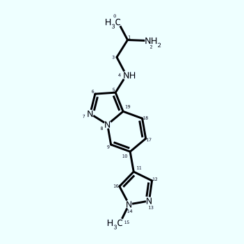 CC(N)CNc1cnn2cc(-c3cnn(C)c3)ccc12